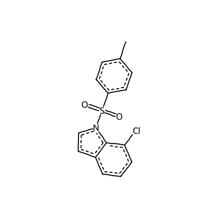 Cc1ccc(S(=O)(=O)n2ccc3cccc(Cl)c32)cc1